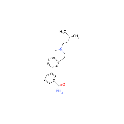 CC(C)CCN1CCc2cc(-c3cccc(C(N)=O)c3)ccc2C1